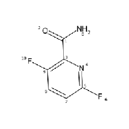 NC(=O)c1nc(F)ccc1F